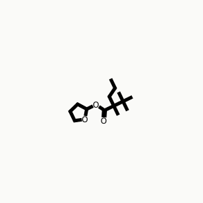 CCCC(C)(C(=O)OC1CCCO1)C(C)(C)C